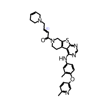 Cc1ccc(Oc2ccc(Nc3ncnc4sc5c(c34)CCN(C(=O)/C=C/CN3CC=CCC3)C5)cc2C)cn1